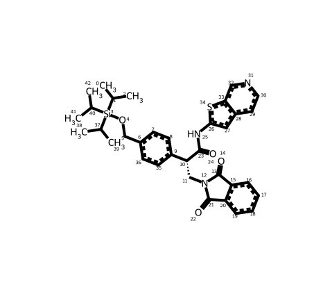 CC(C)[Si](OCc1ccc([C@@H](CN2C(=O)c3ccccc3C2=O)C(=O)Nc2cc3ccncc3s2)cc1)(C(C)C)C(C)C